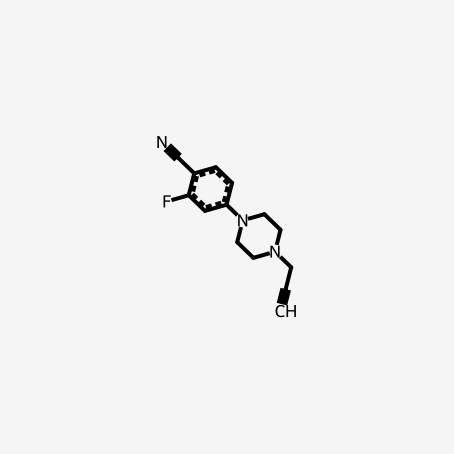 C#CCN1CCN(c2ccc(C#N)c(F)c2)CC1